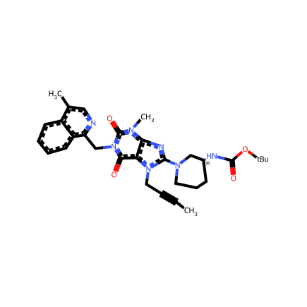 CC#CCn1c(N2CCC[C@@H](NC(=O)OC(C)(C)C)C2)nc2c1c(=O)n(Cc1ncc(C)c3ccccc13)c(=O)n2C